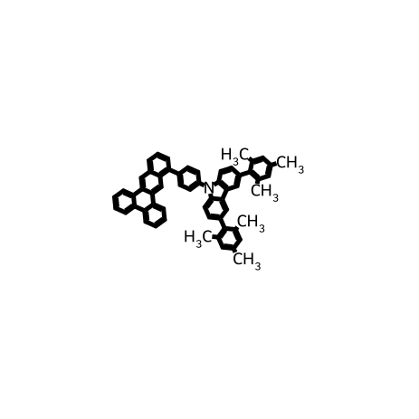 Cc1cc(C)c(-c2ccc3c(c2)c2cc(-c4c(C)cc(C)cc4C)ccc2n3-c2ccc(-c3cccc4cc5c6ccccc6c6ccccc6c5cc34)cc2)c(C)c1